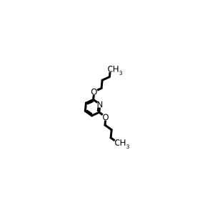 CCCCOc1cccc(OCCCC)n1